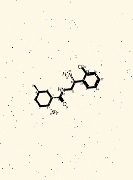 CC(C)[C@@H]1CC[C@@H](C)C[C@H]1C(=O)NC[C@@H](N)c1ccccc1Cl